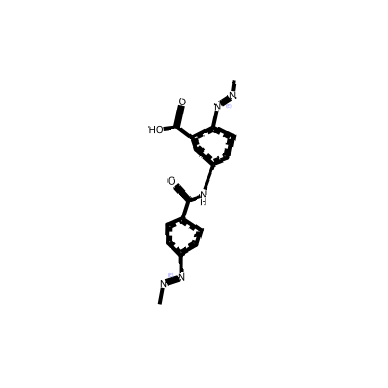 C/N=N/c1ccc(C(=O)Nc2ccc(/N=N/C)c(C(=O)O)c2)cc1